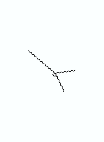 CCCCCCCCCCCCCCCCCCCN1C=CN(CCCCCCCCCC)C1CCCCCCCCCCC